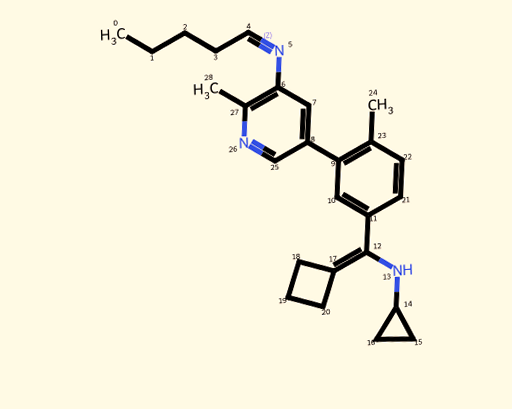 CCCC/C=N\c1cc(-c2cc(C(NC3CC3)=C3CCC3)ccc2C)cnc1C